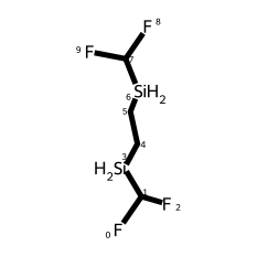 FC(F)[SiH2]CC[SiH2]C(F)F